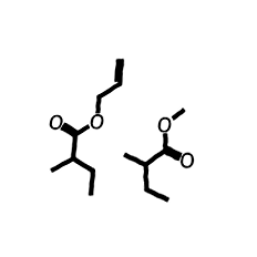 C=CCOC(=O)C(C)CC.CCC(C)C(=O)OC